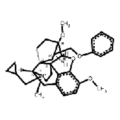 COc1ccc2c3c1O[C@H]1[C@@]4(OC)CC[C@@]5(C[C@@H]4COc4ccccc4)[C@@H](C2)[N@@+](C)(CC2CC2)CC[C@]315